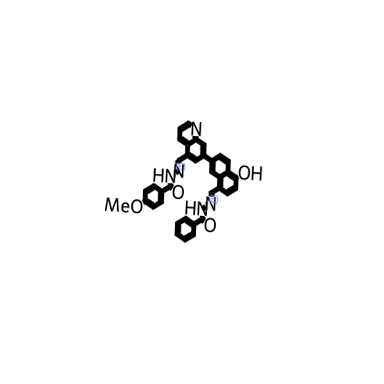 COc1ccc(C(=O)N/N=C/c2cc(-c3ccc4c(O)ccc(/C=N/NC(=O)c5ccccc5)c4c3)cc3ncccc23)cc1